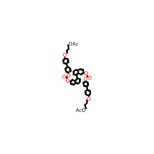 CC(=O)OCCCCOc1ccc(-c2ccc(OC(=O)Oc3ccc4cccc(-c5cccc6ccc(OC(=O)Oc7ccc(-c8ccc(OCCCCOC(C)=O)cc8)cc7)cc56)c4c3)cc2)cc1